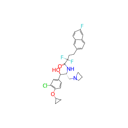 O=C(N[C@H](CN1CCC1)[C@H](O)c1ccc(OC2CC2)c(Cl)c1)C(F)(F)CCc1ccc2cc(F)ccc2c1